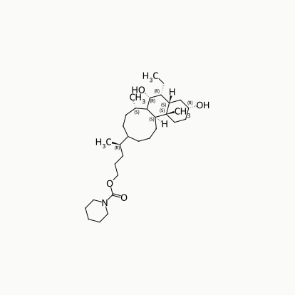 CC[C@H]1[C@@H](O)C2[C@@H](C)CCC([C@H](C)CCCOC(=O)N3CCCCC3)CCC[C@@H]2[C@@]2(C)CC[C@@H](O)C[C@@H]12